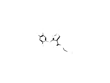 CCOC(=O)c1cn(C)nc1Nc1cc(F)c(F)cc1N